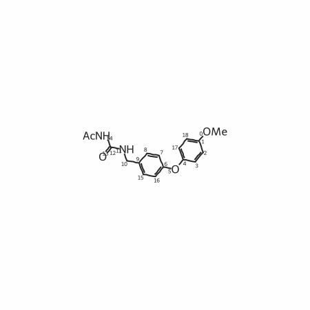 COc1ccc(Oc2ccc(CNC(=O)NC(C)=O)cc2)cc1